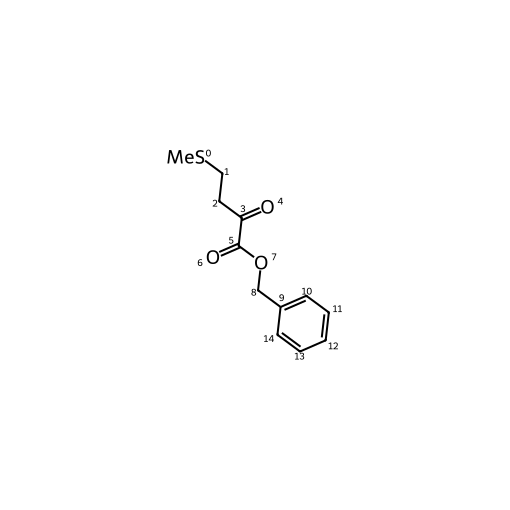 CSCCC(=O)C(=O)OCc1ccccc1